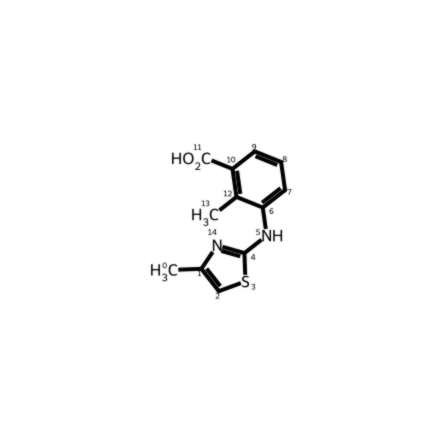 Cc1csc(Nc2cccc(C(=O)O)c2C)n1